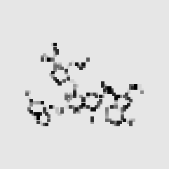 C=CC(=O)N1CCC(Oc2nc(OCC34CCCN3CC(F)C4)nc3c(F)c(-c4ccc(F)c5sc(N)c(C#N)c45)c(Cl)cc23)C1COC